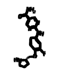 NC(=O)c1cnc(Nc2ccc(OC[C@@H]3CCCN3)c(F)c2)nc1